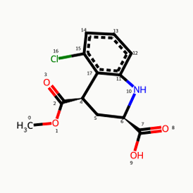 COC(=O)[C@@H]1C[C@H](C(=O)O)Nc2cccc(Cl)c21